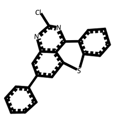 Clc1nc2c3c(cc(-c4ccccc4)cc3n1)Sc1ccccc1-2